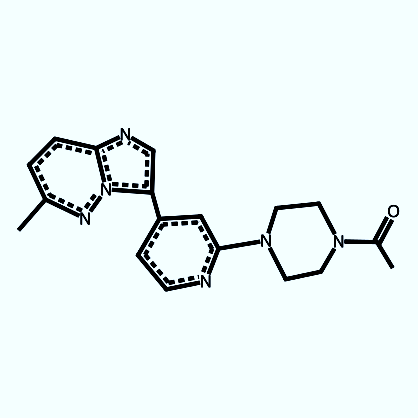 CC(=O)N1CCN(c2cc(-c3cnc4ccc(C)nn34)ccn2)CC1